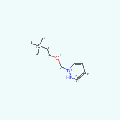 C[Si](C)(C)CCOCN1C=CC=CN1